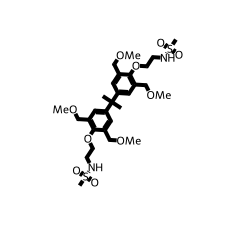 COCc1cc(C(C)(C)c2cc(COC)c(OCCNS(C)(=O)=O)c(COC)c2)cc(COC)c1OCCNS(C)(=O)=O